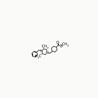 COC(=O)C1CCC(CN2C[C@@H](C)N(Cc3ccccc3)[C@@H](C)C2)CC1